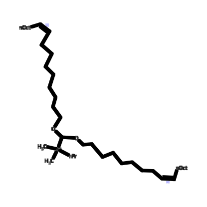 CCCCCCCC/C=C\CCCCCCCCOC(OCCCCCCCC/C=C\CCCCCCCC)[N+](C)(C)CCC